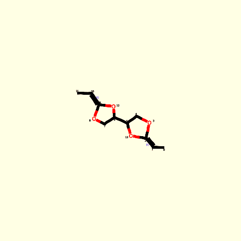 C/C=C1\OCC(C2CO/C(=C\C)O2)O1